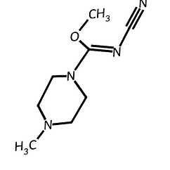 COC(=NC#N)N1CCN(C)CC1